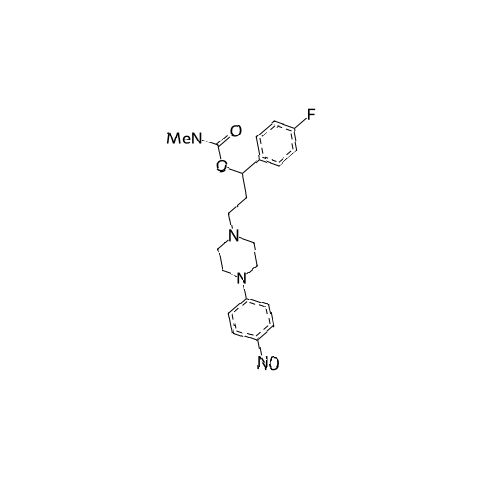 CNC(=O)OC(CCN1CCN(c2ccc(N=O)cc2)CC1)c1ccc(F)cc1